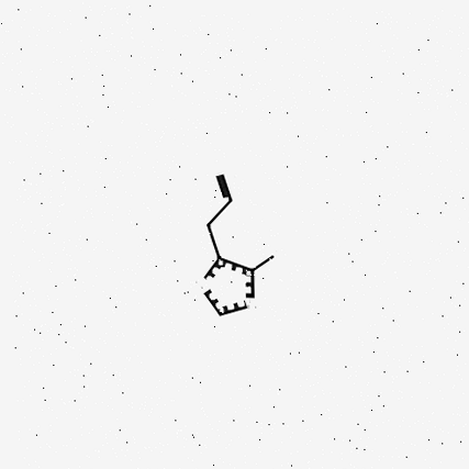 C=CCc1nc[nH]c1O